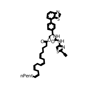 C#Cc1nc(NC(=O)N[C@@H](COC(=O)CCC/C=C\C/C=C\C/C=C\C/C=C\CCCCC)c2ccc(-c3cccc4ncsc34)cc2)cs1